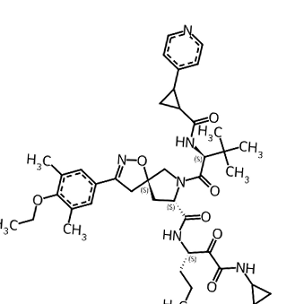 CCC[C@H](NC(=O)[C@@H]1C[C@]2(CC(c3cc(C)c(OCC)c(C)c3)=NO2)CN1C(=O)[C@@H](NC(=O)C1CC1c1ccncc1)C(C)(C)C)C(=O)C(=O)NC1CC1